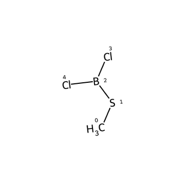 CSB(Cl)Cl